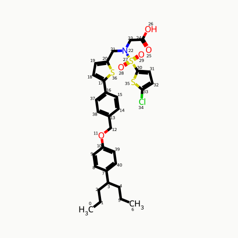 CCCC(CCC)c1ccc(OCc2ccc(-c3ccc(CN(CC(=O)O)S(=O)(=O)c4ccc(Cl)s4)s3)cc2)cc1